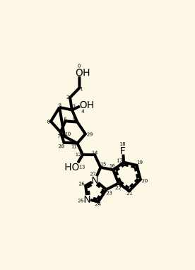 OCCC1(O)C2CC3CC1CC(C(O)CC1c4c(F)cccc4-c4cncn41)(C3)C2